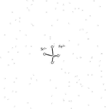 [Fe+2].[O-][Si]([O-])([O-])[O-].[Sr+2]